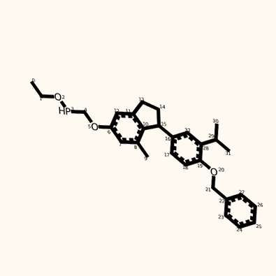 CCOPCOc1cc(C)c2c(c1)CCC2c1ccc(OCc2ccccc2)c(C(C)C)c1